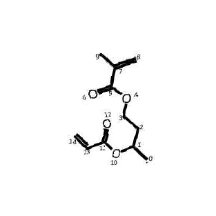 [CH2]C(CCOC(=O)C(=C)C)OC(=O)C=C